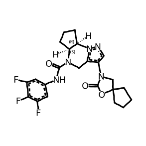 O=C1OC2(CCCC2)CN1c1cnn2c1CN(C(=O)Nc1cc(F)c(F)c(F)c1)[C@H]1CCC[C@H]12